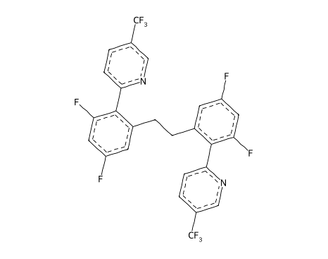 Fc1cc(F)c(-c2ccc(C(F)(F)F)cn2)c(CCc2cc(F)cc(F)c2-c2ccc(C(F)(F)F)cn2)c1